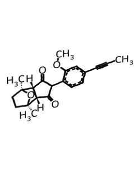 CC#Cc1ccc(C2C(=O)[C@@H]3[C@H](C2=O)[C@@]2(C)CC[C@]3(C)O2)c(OC)c1